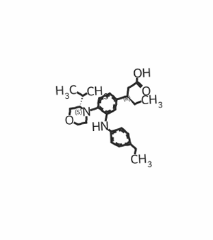 CCc1ccc(Nc2cc([C@H](CC)CC(=O)O)ccc2N2CCOC[C@@H]2C(C)C)cc1